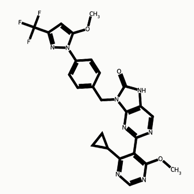 COc1ncnc(C2CC2)c1-c1ncc2[nH]c(=O)n(Cc3ccc(-n4nc(C(F)(F)F)cc4OC)cc3)c2n1